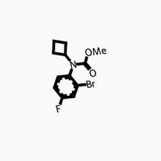 COC(=O)N(c1ccc(F)cc1Br)C1CCC1